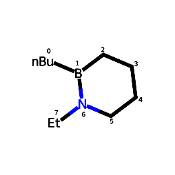 CCCCB1CCCCN1CC